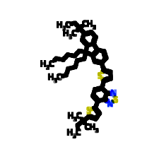 CCCCCCC1(CCCCCC)c2cc(-c3ccc(-c4ccc(-c5ccc(C(C)(C)CC)s5)c5nsnc45)s3)ccc2-c2ccc(C(C)(C)CC)cc21